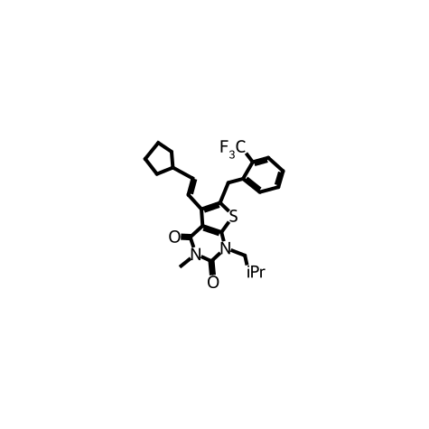 CC(C)Cn1c(=O)n(C)c(=O)c2c(C=CC3CCCC3)c(Cc3ccccc3C(F)(F)F)sc21